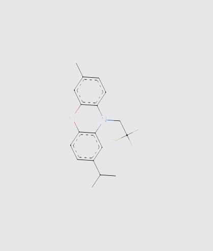 Cc1ccc2c(c1)Oc1ccc(C(C)C)cc1N2CC(F)(F)F